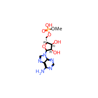 COP(=O)(O)OC[C@H]1OC(n2cnc3c(N)ncnc32)[C@H](O)[C@@H]1O